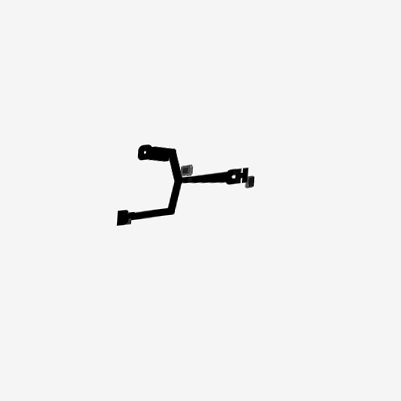 C[C@H](C=O)CBr